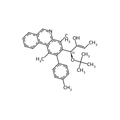 CC=C(O)[C@@H](OC(C)(C)C)c1c(-c2ccc(C)cc2)c(C)c2c(ncc3ccccc32)c1C